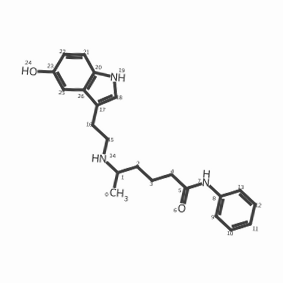 CC(CCCC(=O)Nc1ccccc1)NCCc1c[nH]c2ccc(O)cc12